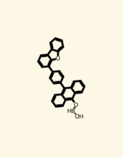 OBOc1c2ccccc2c(-c2ccc(-c3cccc4c3oc3ccccc34)cc2)c2ccccc12